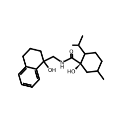 CC1CCC(C(C)C)[C@@](O)(C(=O)NCC2(O)CCCc3ccccc32)C1